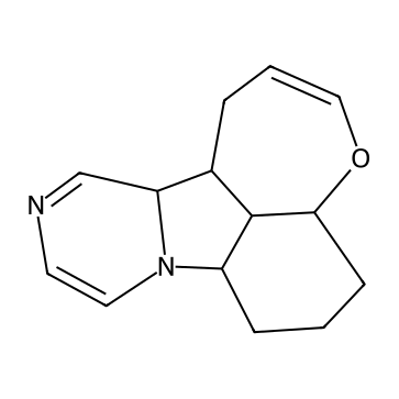 C1=COC2CCCC3C2C(C1)C1C=NC=CN13